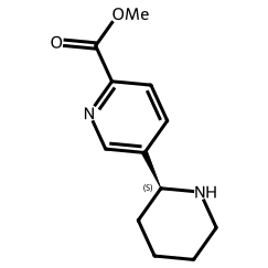 COC(=O)c1ccc([C@@H]2CCCCN2)cn1